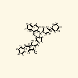 O=C1C(=Cc2ccc3c(c2)Sc2c(ccc4ccccc24)N3c2ccc(-c3ccccc3)cc2)C(=O)c2cc3ccccc3cc21